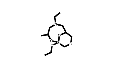 CCO[Si]12COCC(CN(CC)CC(C)O1)O2